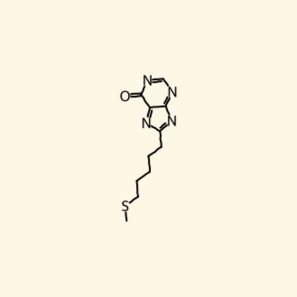 CSCCCCCC1=NC2=NC=NC(=O)C2=N1